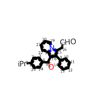 CC(C)c1ccc(C(=O)c2c(-c3ccccc3)c(CC=O)n3ccccc23)cc1